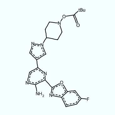 CC(C)(C)C(=O)ON1CCC(n2cc(-c3cnc(N)c(-c4nc5ccc(F)cc5o4)n3)cn2)CC1